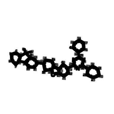 CC1(C)c2ccccc2-c2ccc(-c3ccc4c(c3)oc3ccc(-c5nc(-c6ccccc6)nc(-c6ccccc6)n5)cc34)cc21